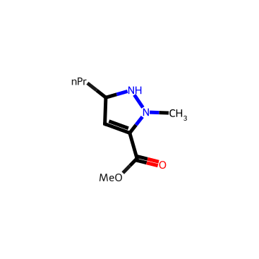 CCCC1C=C(C(=O)OC)N(C)N1